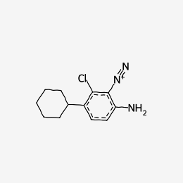 N#[N+]c1c(N)ccc(C2CCCCC2)c1Cl